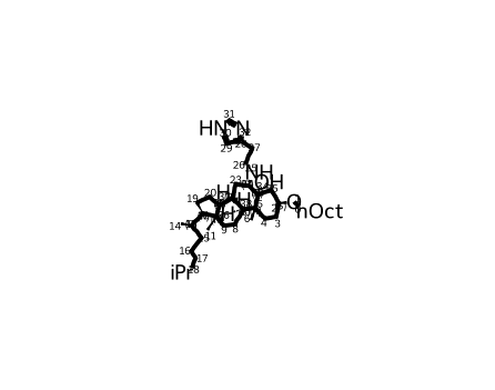 CCCCCCCCO[C@H]1CC[C@]2(C)[C@H]3CC[C@]4(C)[C@@H]([C@H](C)CCCC(C)C)CC[C@H]4[C@@H]3C[C@@H](NCCc3c[nH]cn3)[C@@]2(O)C1